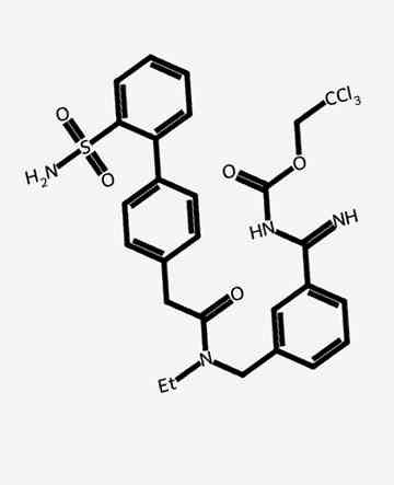 CCN(Cc1cccc(C(=N)NC(=O)OCC(Cl)(Cl)Cl)c1)C(=O)Cc1ccc(-c2ccccc2S(N)(=O)=O)cc1